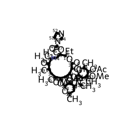 CC[C@H]1OC(=O)[C@H](C)[C@@H](O[C@H]2C[C@@](C)(OC)[C@@H](OC(C)=O)[C@H](C)O2)[C@H](C)[C@@H](O[C@@H]2O[C@H](C)C[C@H](N(C)C)[C@H]2OC(C)=O)[C@@](C)(OC)C[C@@H](C)C(=O)/C(C)=C/[C@]1(C)OC(=O)n1ccnc1